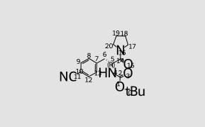 CC(C)(C)OC(=O)N[C@H](Cc1ccc(C#N)cc1)C(=O)N1CCCC1